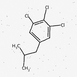 [CH2]C(C)Cc1cc(Cl)c(Cl)c(Cl)c1